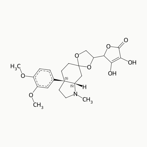 COc1ccc([C@]23CCN(C)[C@H]2CC2(CC3)OCC(C3OC(=O)C(O)=C3O)O2)cc1OC